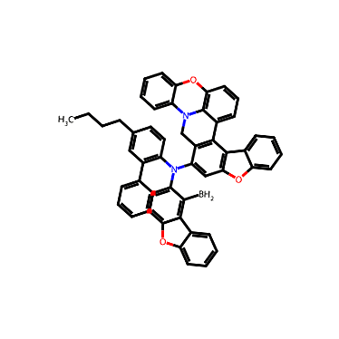 Bc1c(N(c2ccc(CCCC)cc2-c2ccccc2)c2cc3oc4ccccc4c3c3c2CN2c4ccccc4Oc4cccc-3c42)ccc2oc3ccccc3c12